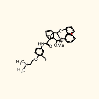 COC(=O)C1=C(C(=O)Nc2ccc(OCCN(C)C)c(F)c2)C2C=CC1(C(Cc1ccccc1)Nc1ccccc1)O2